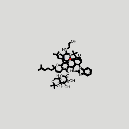 CC(C)=CCCC1(C)C=Cc2c(c(CC=C(C)C)c3c(c2O[C@@H]2O[C@@H]4COC(C)(C)O[C@H]4[C@H](O)[C@H]2O)C2=C4C(C5CC6C(C)(C)OC(C/C=C(/C)C(=O)NCCO)(C5=O)C46O3)n3c(nc4ccccc43)N2)O1